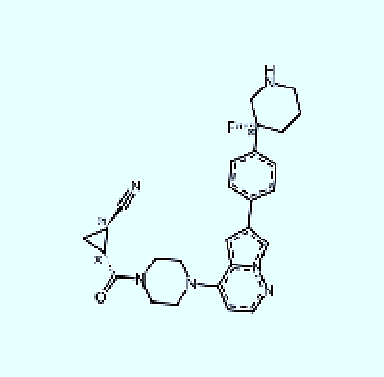 N#C[C@@H]1C[C@H]1C(=O)N1CCN(c2ccnn3cc(-c4ccc([C@]5(F)CCCNC5)cc4)cc23)CC1